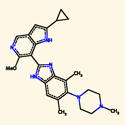 COc1ncc2cc(C3CC3)[nH]c2c1-c1nc2c(C)c(N3CCN(C)CC3)c(C)cc2[nH]1